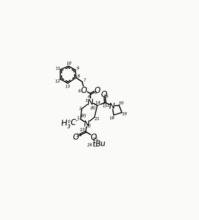 C[C@@H]1CN(C(=O)OCc2ccccc2)[C@@H](C(=O)N2CCC2)CN1C(=O)OC(C)(C)C